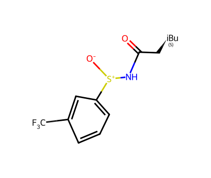 CC[C@H](C)CC(=O)N[S+]([O-])c1cccc(C(F)(F)F)c1